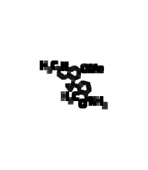 COc1cc(C2(c3cccc(C(N)=O)c3C)CC2)c2ccc(C)nc2c1